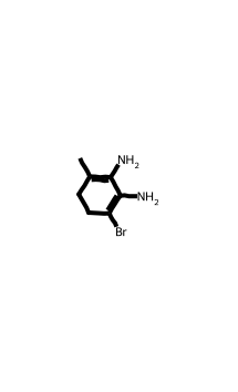 CC1=C(N)C(N)=C(Br)CC1